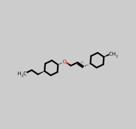 CCC[C@H]1CC[C@H](OC/C=C/[C@H]2CC[C@H](C)CC2)CC1